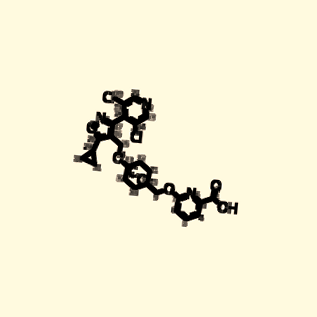 O=C(O)c1cccc(OCC23CCC(OCc4c(-c5c(Cl)cncc5Cl)noc4C4CC4)(CC2)CC3)n1